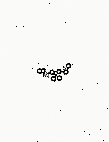 c1ccc(C2(c3ccccc3)c3cc(-c4cccc5c4sc4ccccc45)ccc3-c3ccc(-c4nnc5c6ccccc6ccn45)cc32)cc1